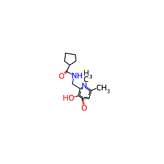 Cc1cc(=O)c(O)c(CNC(=O)C2CCCC2)n1C